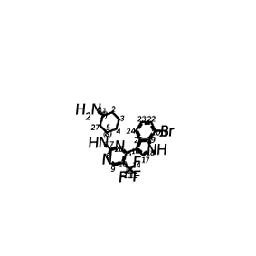 N[C@H]1CCC[C@H](Nc2ncc(C(F)(F)F)c(-c3c[nH]c4c(Br)cccc34)n2)C1